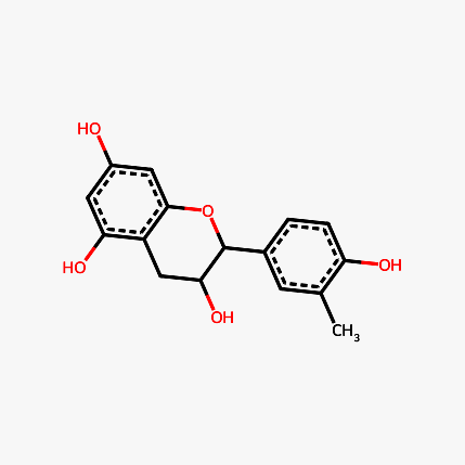 Cc1cc(C2Oc3cc(O)cc(O)c3CC2O)ccc1O